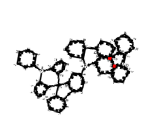 c1ccc(-c2cccc(-c3ccccc3N(c3ccc4c(c3)C3(c5ccccc5-4)c4ccccc4N(c4ccccc4)c4ccccc43)c3ccc4sc5ccccc5c4c3)c2)cc1